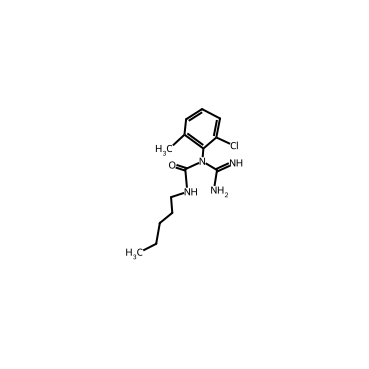 CCCCCNC(=O)N(C(=N)N)c1c(C)cccc1Cl